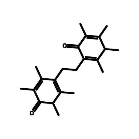 CC1=C(C)C(CCC2=C(C)C(C)C(C)=C(C)C2=O)=C(C)C(C)C1=O